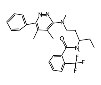 CCC(CCN(C)c1nnc(-c2ccccc2)c(C)c1C)N(C)C(=O)c1ccccc1C(F)(F)F